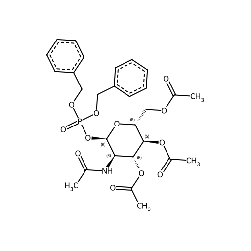 CC(=O)N[C@H]1[C@@H](OP(=O)(OCc2ccccc2)OCc2ccccc2)O[C@H](COC(C)=O)[C@@H](OC(C)=O)[C@@H]1OC(C)=O